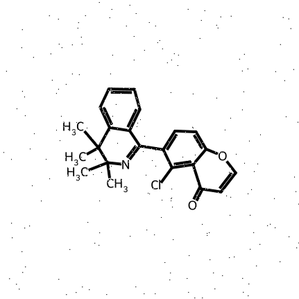 CC1(C)N=C(c2ccc3occc(=O)c3c2Cl)c2ccccc2C1(C)C